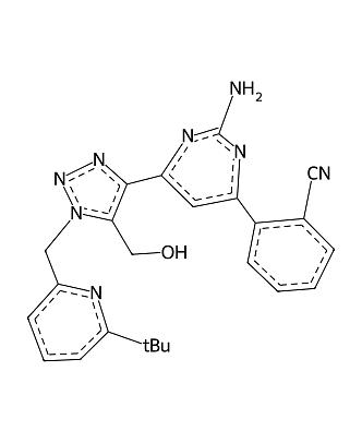 CC(C)(C)c1cccc(Cn2nnc(-c3cc(-c4ccccc4C#N)nc(N)n3)c2CO)n1